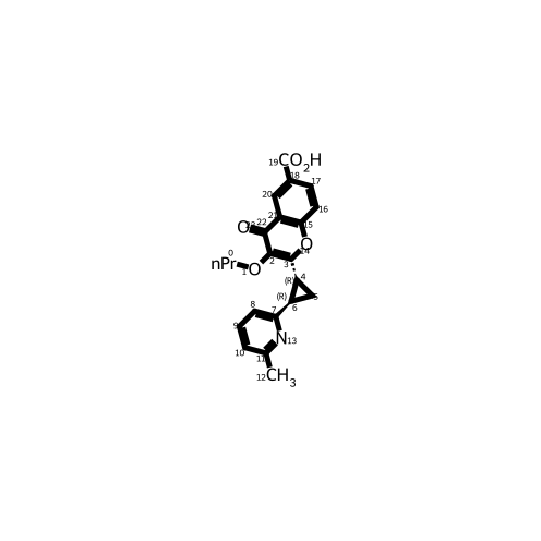 CCCOc1c([C@@H]2C[C@H]2c2cccc(C)n2)oc2ccc(C(=O)O)cc2c1=O